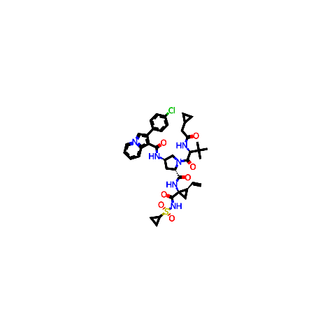 C=C[C@H]1C[C@]1(NC(=O)[C@@H]1C[C@@H](NC(=O)c2c(-c3ccc(Cl)cc3)cn3ccccc23)CN1C(=O)[C@@H](NC(=O)CC1CC1)C(C)(C)C)C(=O)NS(=O)(=O)C1CC1